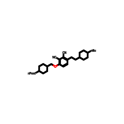 CCCCCC1CCC(COc2ccc(CCC3CCC(CCCC)CC3)c(C#N)c2C#N)CC1